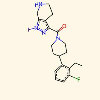 CCc1c(F)cccc1C1CCN(C(=O)c2nn(I)c3c2CCNC3)CC1